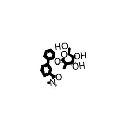 CC1[C@H](Oc2ccccc2-c2cccc(C(=O)N(C)C)c2)OC(CO)[C@H](O)[C@@H]1O